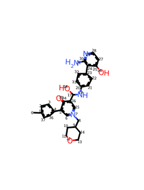 Cc1ccc(-c2cn(CC3CCOCC3)cc(C(O)Nc3ccc(-c4c(O)ccnc4N)cc3)c2=O)cc1